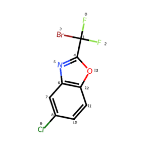 FC(F)(Br)c1nc2cc(Cl)ccc2o1